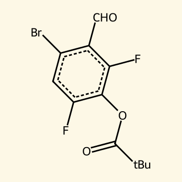 CC(C)(C)C(=O)Oc1c(F)cc(Br)c(C=O)c1F